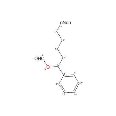 CCCCCCCCCCCCCC(O[C]=O)c1ccccc1